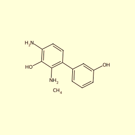 C.Nc1ccc(-c2cccc(O)c2)c(N)c1O